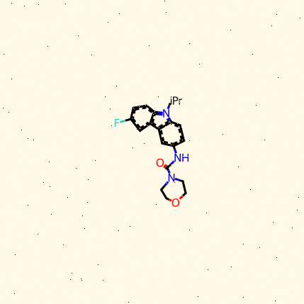 CC(C)n1c2ccc(F)cc2c2cc(NC(=O)N3CCOCC3)ccc21